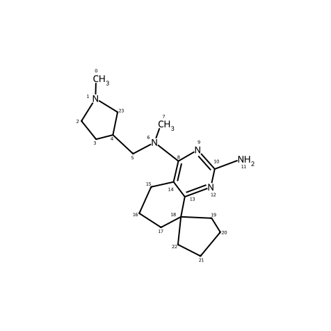 CN1CCC(CN(C)c2nc(N)nc3c2CCCC32CCCC2)C1